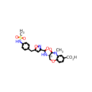 CN1C(=O)[C@@H](NC(=O)c2cc(Cc3ccc(NS(C)(=O)=O)cc3)on2)COc2ccc(C(=O)O)cc21